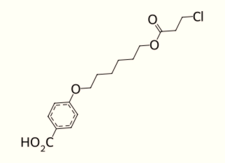 O=C(CCCl)OCCCCCCOc1ccc(C(=O)O)cc1